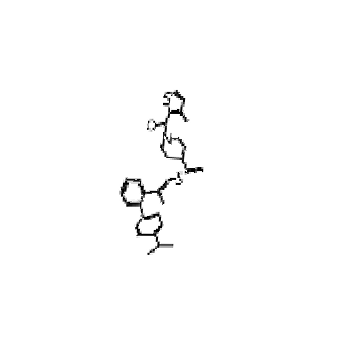 C=C(S/C=C(\C)c1ccccc1-c1ccc(C(C)C)cc1)C1CCN(C(=O)c2sccc2C)CC1